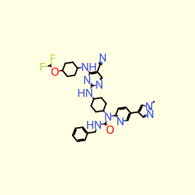 Cn1cc(-c2ccc(N(C(=O)NCc3ccccc3)C3CCC(Nc4ncc(C#N)c(NC5CCC(OC(F)F)CC5)n4)CC3)nc2)cn1